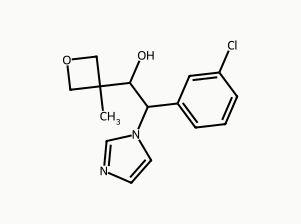 CC1(C(O)C(c2cccc(Cl)c2)n2ccnc2)COC1